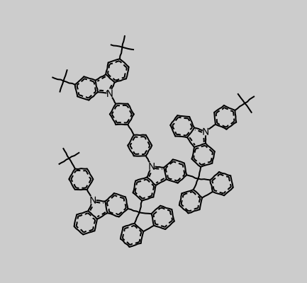 CC(C)(C)c1ccc(-n2c3ccccc3c3cc(C4(c5ccc6c(c5)c5cc(C7(c8ccc9c(c8)c8ccccc8n9-c8ccc(C(C)(C)C)cc8)c8ccccc8-c8ccccc87)ccc5n6-c5ccc(-c6ccc(-n7c8ccc(C(C)(C)C)cc8c8cc(C(C)(C)C)ccc87)cc6)cc5)c5ccccc5-c5ccccc54)ccc32)cc1